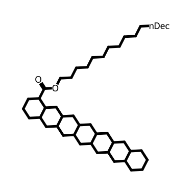 CCCCCCCCCCCCCCCCCCCCCOC(=O)C1CCCC2CC3CC4CC5CC6CC7CCCCC7CC6CC5CC4CC3CC21